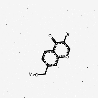 COCc1ccc2c(=O)c(Br)coc2c1